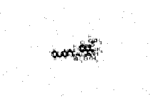 CC(=Cc1ccc(Cc2cccnc2)cc1)CN(C)CCOC(=O)C1=C(C)NC(C)=C(C(=O)OC(C)C)C1c1cccc(Cl)c1Cl